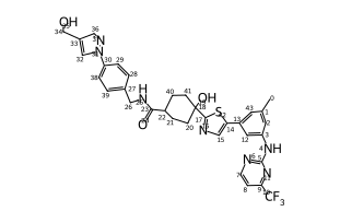 Cc1cc(Nc2nccc(C(F)(F)F)n2)cc(-c2cnc(C3(O)CCC(C(=O)NCc4ccc(-n5cc(CO)cn5)cc4)CC3)s2)c1